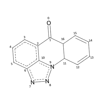 O=C1c2cccc3nnn(c23)C2C=CC=CC12